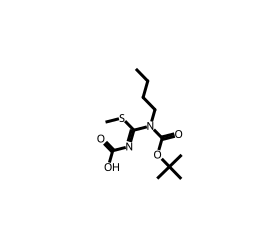 CCCCN(C(=O)OC(C)(C)C)C(=NC(=O)O)SC